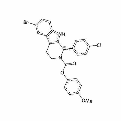 COc1ccc(OC(=O)N2CCc3c([nH]c4ccc(Br)cc34)[C@H]2c2ccc(Cl)cc2)cc1